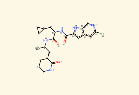 N#CC(C[C@@H]1CCCNC1=O)NC(=O)C(CC1CC1)NC(=O)c1cc2cc(Cl)ncc2[nH]1